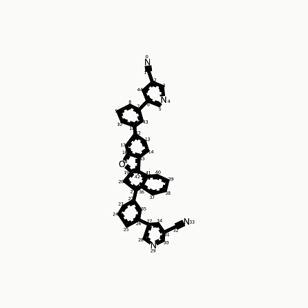 N#Cc1cncc(-c2cccc(-c3ccc4c(c3)oc3cc(-c5cccc(-c6cncc(C#N)c6)c5)c5ccccc5c34)c2)c1